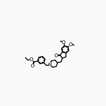 CCOC(=O)c1cccc(CN2CCC(CC3Cc4cc(OC)c(OC)cc4C3=O)CC2)c1